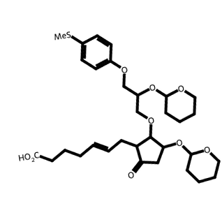 CSc1ccc(OCC(COC2C(OC3CCCCO3)CC(=O)C2CC=CCCCC(=O)O)OC2CCCCO2)cc1